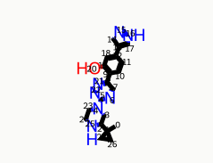 CC1(C2CN(c3ncc(-c4ccc(-c5cn[nH]c5)cc4O)nn3)CCN2)CC1